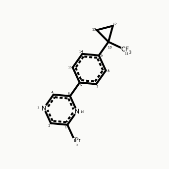 CC(C)c1cncc(-c2ccc(C3(C(F)(F)F)CC3)cc2)n1